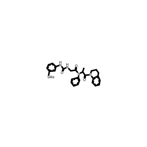 CSc1cccc(NC(=O)NCC(=O)N(c2ccccc2)C(C)C(=O)N2CCCc3ccccc32)c1